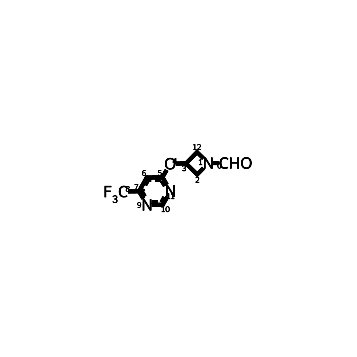 O=CN1CC(Oc2cc(C(F)(F)F)ncn2)C1